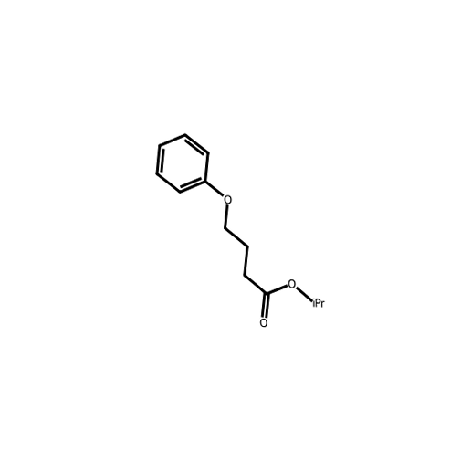 CC(C)OC(=O)CCCOc1ccccc1